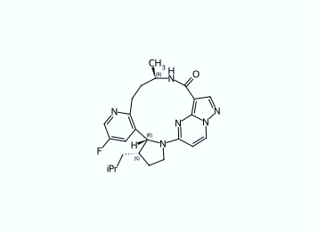 CC(C)C[C@H]1CCN2c3ccn4ncc(c4n3)C(=O)N[C@H](C)CCc3ncc(F)cc3[C@@H]12